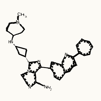 CN1CCC(N[C@H]2C[C@@H](c3nc(-c4ccc5ccc(-c6ccccc6)nc5c4)c4c(N)nccn43)C2)CC1